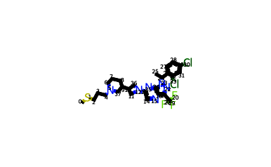 CSCCCN1CCCC(C2CN(c3cnc4c(C(F)(F)F)nn(C(C)c5ccc(Cl)cc5Cl)c4n3)C2)C1